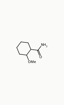 COC1CCCCC1C(N)=O